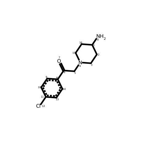 NC1CCN(CC(=O)c2ccc(Cl)cc2)CC1